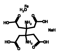 NC(CC(=O)O)(CC(=O)O)C(N)(CC(=O)O)CC(=O)O.O.[Fe].[NaH]